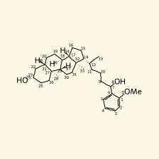 COc1ccccc1C(O)CCCC(C)[C@H]1CC[C@H]2[C@@H]3CC[C@H]4C[C@@H](O)CC[C@]4(C)[C@H]3CC[C@]12C